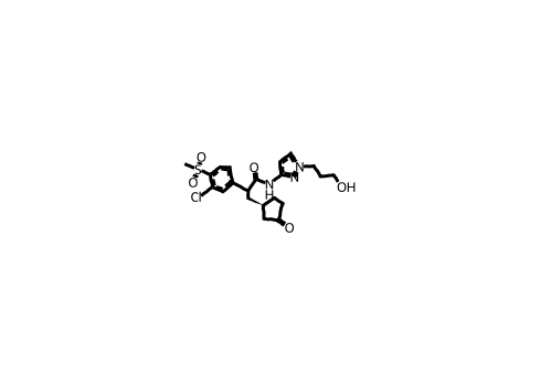 CS(=O)(=O)c1ccc(C(C[C@H]2CCC(=O)C2)C(=O)Nc2ccn(CCCO)n2)cc1Cl